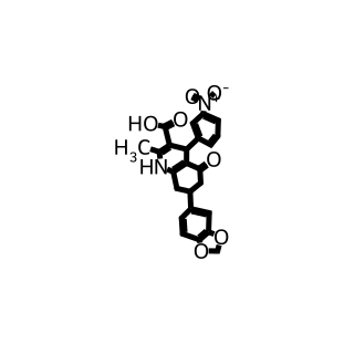 CC1=C(C(=O)O)C(c2cccc([N+](=O)[O-])c2)C2=C(CC(c3ccc4c(c3)OCO4)CC2=O)N1